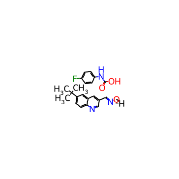 O=C(O)Nc1ccc(F)cc1.[2H]ON=Cc1cnc2ccc(C(C)(C)C)cc2c1